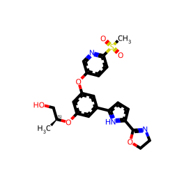 C[C@@H](CO)Oc1cc(Oc2ccc(S(C)(=O)=O)nc2)cc(-c2ccc(C3=NCCO3)[nH]2)c1